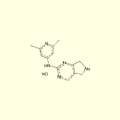 Cc1cc(Nc2ncc3c(n2)CNC3)cc(C)n1.Cl